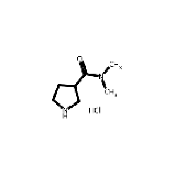 CN(C)C(=O)C1CCNC1.Cl